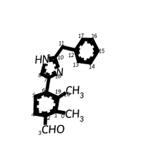 Cc1c(C=O)ccc(-c2c[nH]c(Cc3ccccc3)n2)c1C